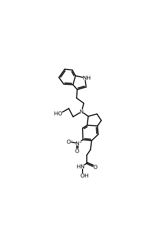 O=C(CCc1cc2c(cc1[N+](=O)[O-])C(N(CCO)CCc1c[nH]c3ccccc13)CC2)NO